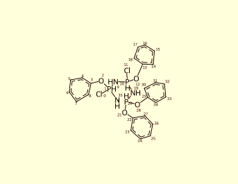 Cl[PH]1(Oc2ccccc2)N[PH](Cl)(Oc2ccccc2)N[PH](Oc2ccccc2)(Oc2ccccc2)N1